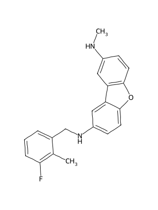 CNc1ccc2oc3ccc(NCc4cccc(F)c4C)cc3c2c1